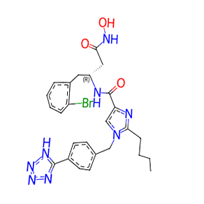 CCCCc1nc(C(=O)N[C@@H](CC(=O)NO)Cc2ccccc2Br)cn1Cc1ccc(-c2nnn[nH]2)cc1